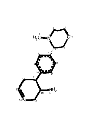 CN1CCOC[C@@H]1c1ccc(C2CC=NCC2N)cc1